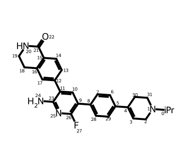 CC(C)N1CC=C(c2ccc(-c3cc(-c4ccc5c(c4)CCNC5=O)c(N)nc3F)cc2)CC1